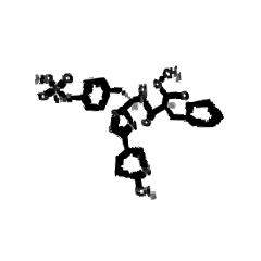 COC(=O)[C@@H](Cc1ccccc1)C(=O)N[C@@H](Cc1ccc(NS(=O)(=O)O)cc1)c1nc(-c2ccc(C)nc2)cs1